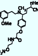 CCCCCCC(C#N)CCC(c1ccc(OCC(=O)NCCO[N+](=O)[O-])cc1)N(C)CCc1cccc(OC)c1